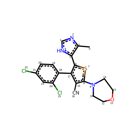 Cc1nc[nH]c1-c1sc(N2CCOCC2)c(C#N)c1-c1ccc(Cl)cc1Cl